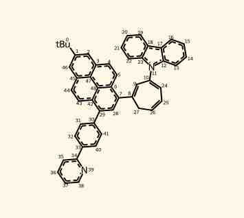 CC(C)(C)c1cc2ccc3c(C4=CC(n5c6ccccc6c6ccccc65)=CC=CC4)cc(-c4ccc(-c5ccccn5)cc4)c4ccc(c1)c2c34